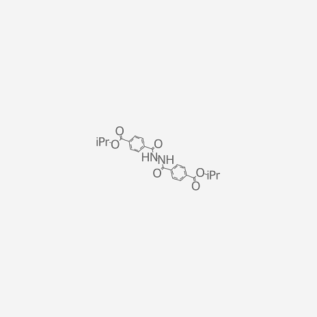 CC(C)OC(=O)c1ccc(C(=O)NNC(=O)c2ccc(C(=O)OC(C)C)cc2)cc1